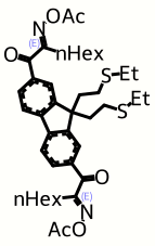 CCCCCC/C(=N\OC(C)=O)C(=O)c1ccc2c(c1)C(CCSCC)(CCSCC)c1cc(C(=O)/C(CCCCCC)=N/OC(C)=O)ccc1-2